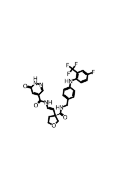 O=C(N/C=C/[C@@]1(C(=O)NCc2ccc(Nc3ccc(F)cc3C(F)(F)F)cc2)CCOC1)c1cn[nH]c(=O)c1